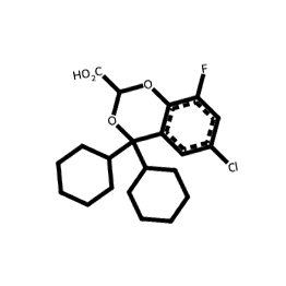 O=C(O)C1Oc2c(F)cc(Cl)cc2C(C2CCCCC2)(C2CCCCC2)O1